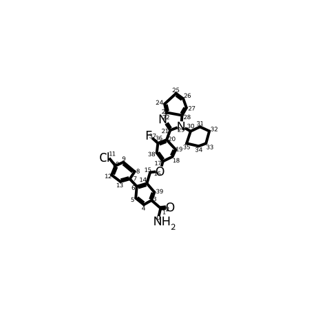 NC(=O)c1ccc(-c2ccc(Cl)cc2)c(COc2ccc(-c3nc4ccccc4n3C3CCCCC3)c(F)c2)c1